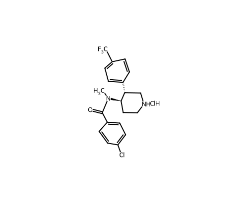 CN(C(=O)c1ccc(Cl)cc1)[C@@H]1CCNC[C@H]1c1ccc(C(F)(F)F)cc1.Cl